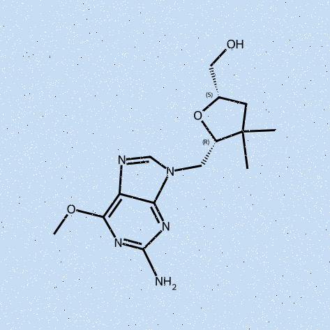 COc1nc(N)nc2c1ncn2C[C@@H]1O[C@H](CO)CC1(C)C